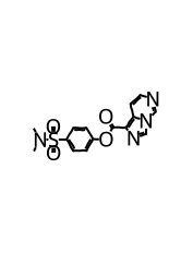 CN(C)S(=O)(=O)c1ccc(OC(=O)c2ncn3cnccc23)cc1